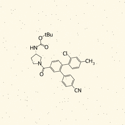 Cc1ccc(-c2ccc(C(=O)N3CC[C@H](NC(=O)OC(C)(C)C)C3)cc2-c2ccc(C#N)cc2)c(Cl)c1